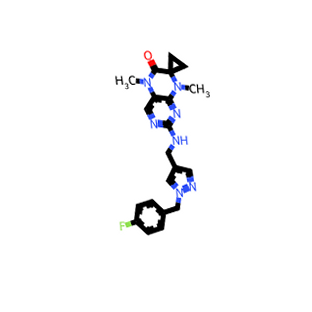 CN1C(=O)C2(CC2)N(C)c2nc(NCc3cnn(Cc4ccc(F)cc4)c3)ncc21